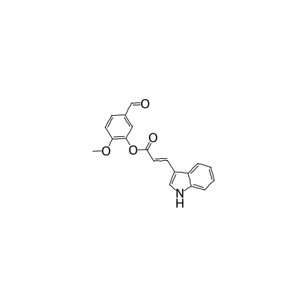 COc1ccc(C=O)cc1OC(=O)/C=C/c1c[nH]c2ccccc12